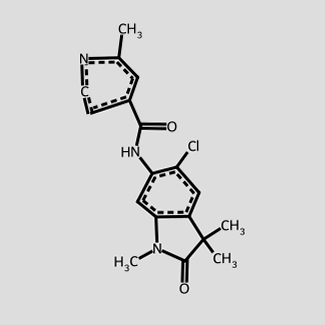 Cc1cc(C(=O)Nc2cc3c(cc2Cl)C(C)(C)C(=O)N3C)ccn1